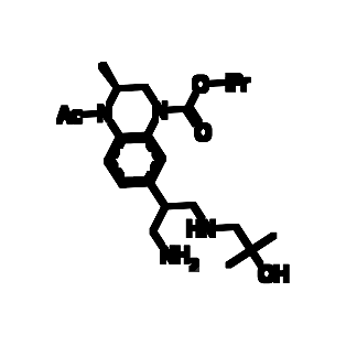 CC(=O)N1c2ccc(C(CN)CNCC(C)(C)O)cc2N(C(=O)OC(C)C)C[C@@H]1C